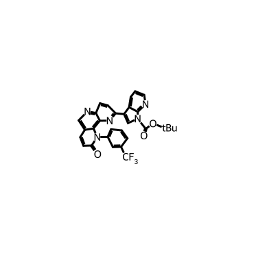 CC(C)(C)OC(=O)n1cc(-c2ccc3ncc4ccc(=O)n(-c5cccc(C(F)(F)F)c5)c4c3n2)c2cccnc21